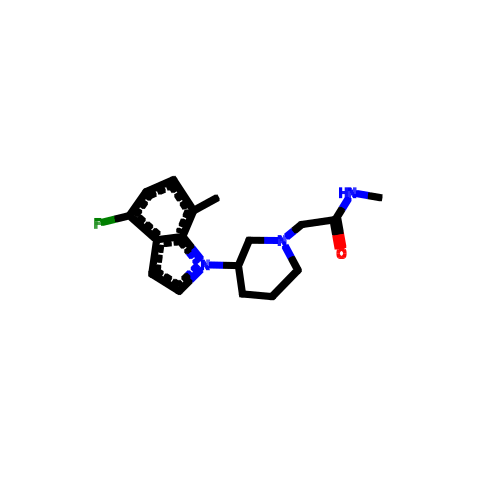 CNC(=O)CN1CCCC(n2ccc3c(F)ccc(C)c32)C1